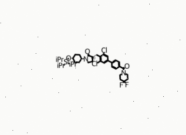 CC(C)[Si](O[C@H]1CC[C@H](N2CC[C@@H](Cc3c(Cl)cc(-c4ccc(C(=O)N5CCC(F)(F)CC5)cc4)cc3Cl)C2=O)CC1)(C(C)C)C(C)C